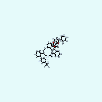 C=C1CC2C(CCc3ccc4c(oc5cc(-c6c(F)cccc6F)ccc54)c3-c3n(-c4ccccc4)c4ccccc4[n+]31)c1ccccc1-c1ccc([Si](C)(C)C)c[n+]12